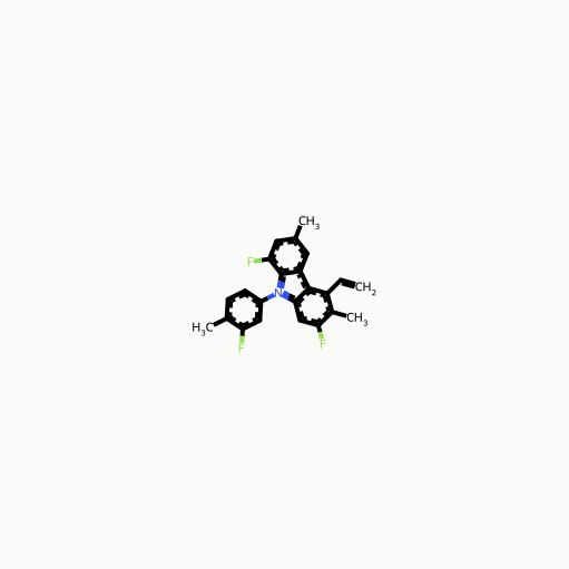 C=Cc1c(C)c(F)cc2c1c1cc(C)cc(F)c1n2-c1ccc(C)c(F)c1